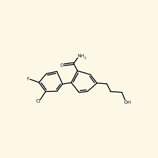 NC(=O)c1cc(C[CH]CO)ccc1-c1ccc(F)c(Cl)c1